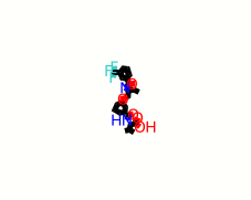 Cc1oc(-c2cccc(C(F)(F)F)c2)nc1CO[C@@H]1CCC[C@H](C(=O)N[C@H](C(=O)O)C(C)C)C1